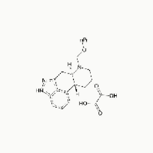 CCCOCN1CCC[C@@H]2c3cccc4[nH]nc(c34)C[C@H]21.O=C(O)C(=O)O